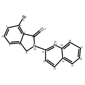 O=C1c2c(Br)cccc2CN1c1ccc2ccccc2n1